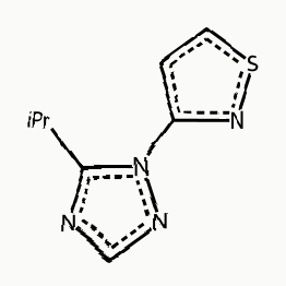 CC(C)c1ncnn1-c1ccsn1